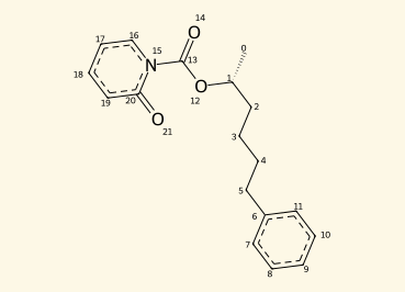 C[C@H](CCCCc1ccccc1)OC(=O)n1ccccc1=O